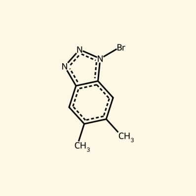 Cc1cc2nnn(Br)c2cc1C